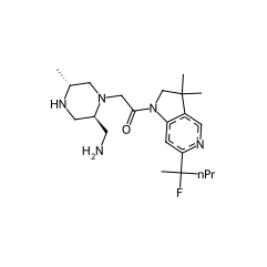 CCCC(C)(F)c1cc2c(cn1)C(C)(C)CN2C(=O)CN1C[C@@H](C)NC[C@@H]1CN